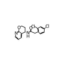 O=C(Cc1ccc(Cl)cc1Cl)N[C@H]1CCOc2ncccc21